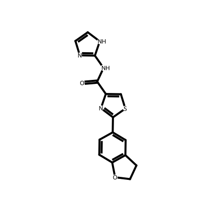 O=C(Nc1ncc[nH]1)c1csc(-c2ccc3c(c2)CCO3)n1